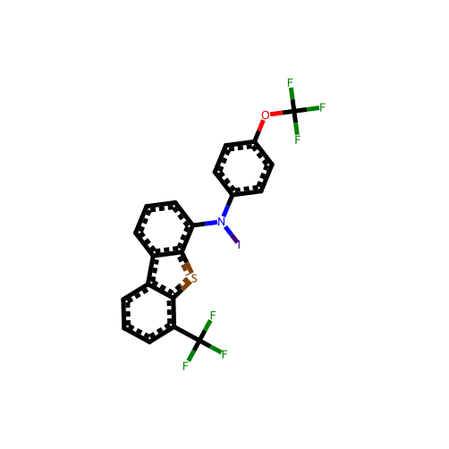 FC(F)(F)Oc1ccc(N(I)c2cccc3c2sc2c(C(F)(F)F)cccc23)cc1